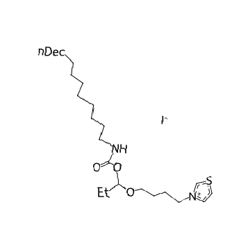 CCCCCCCCCCCCCCCCCCNC(=O)OC(CC)OCCCC[n+]1ccsc1.[I-]